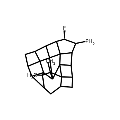 CC12C3CC4CC5C6C7C(P)[C@H](F)C8C9C%10CC%11C3C13C%11%10C91C78C67C45C2(C)C371